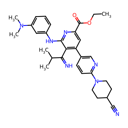 CCOC(=O)c1cc(-c2ccc(N3CCC(C#N)CC3)nc2)c(C(=N)C(C)C)c(Nc2cccc(N(C)C)c2)n1